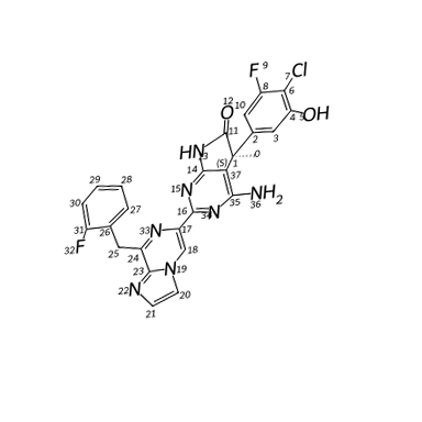 C[C@@]1(c2cc(O)c(Cl)c(F)c2)C(=O)Nc2nc(-c3cn4ccnc4c(Cc4ccccc4F)n3)nc(N)c21